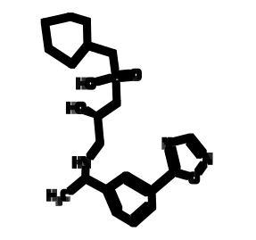 CC(NC[C@@H](O)CP(=O)(O)CC1CCCCC1)c1cccc(-c2ncno2)c1